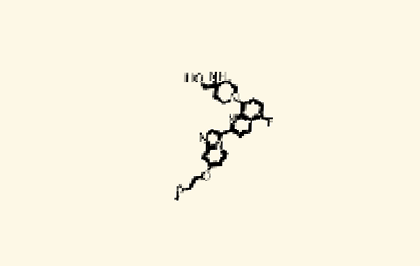 COCCOc1ccn2c(-c3ccc4c(F)ccc(N5CCC(N)(CO)CC5)c4n3)cnc2c1